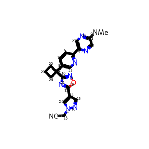 CNc1cnc(-c2ccc(C3(c4noc(-c5cnn(CC#N)c5)n4)CCC3)cn2)cn1